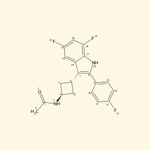 CC(=O)N[C@H]1C[C@H](c2c(-c3ccc(F)cc3)[nH]c3c(F)cc(F)cc32)C1